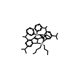 CCC[CH2][Zr]1([CH2]CCC)[CH]2C(CC)=C(c3c(C(C)C)cc(C(C)C)cc32)[Si](c2ccccc2)(c2ccccc2)C2=C(CC)[CH]1c1cc(C(C)C)cc(C(C)C)c12